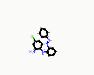 Nc1cc(Cl)ccc1Nc1ccccc1N=Nc1ccccc1